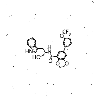 O=C(N[C@@H](CO)Cc1c[nH]c2ccccc12)c1cc(-c2cccc(OC(F)(F)F)c2)cc2c1OCCO2